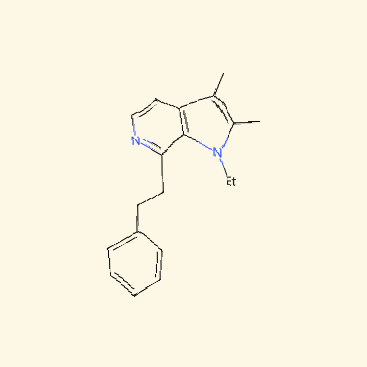 CCn1c(C)c(C)c2ccnc(CCc3ccccc3)c21